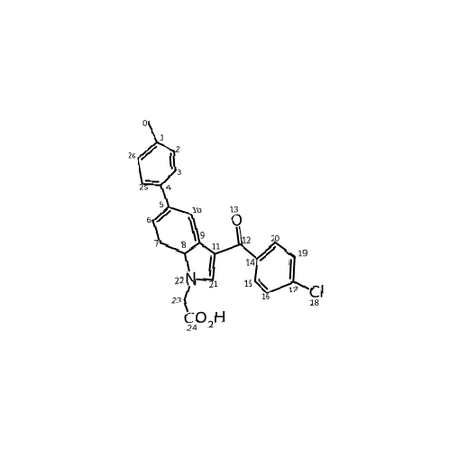 Cc1ccc(C2=CCC3C(=C2)C(C(=O)c2ccc(Cl)cc2)=CN3CC(=O)O)cc1